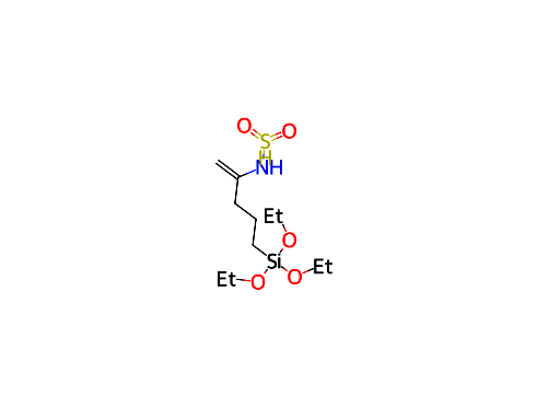 C=C(CCC[Si](OCC)(OCC)OCC)N[SH](=O)=O